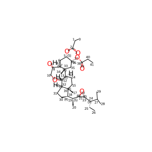 CCC(=O)O[C@H]1C[C@@H]2C(=O)CO[C@@H]3[C@H](CC[C@]4(C)[C@@H]([C@H](C)[C@H]5O[C@@H]5[C@@H](CC)C(C)C)CC[C@@H]34)[C@@]2(C)C[C@H]1OC(=O)CC